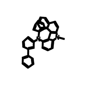 Cn1c2cccc(N(c3ccccc3)c3cccc(-c4ccccc4)c3)c2c2c3ccccc3ccc21